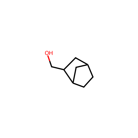 OC[C]1CC2CCC1C2